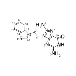 Nc1nc2c(nc(N)n2CCc2csc3ccccc23)c(=O)[nH]1